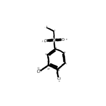 [CH2]CS(=O)(=O)c1ccc(Cl)c(Cl)c1